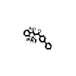 CCN1C(C(=O)c2ccc(-c3ccccc3)cc2)=C(O)c2ccccc2S1(=O)=O